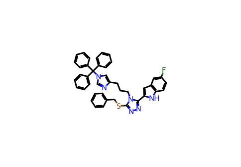 Fc1ccc2[nH]c(-c3nnc(SCc4ccccc4)n3CCCc3cn(C(c4ccccc4)(c4ccccc4)c4ccccc4)cn3)cc2c1